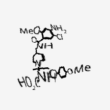 COc1ccc(OCC(C)(NC(=O)O)N2CCC(CNC(=O)c3cc(Cl)c(N)cc3OC)CC2)cc1